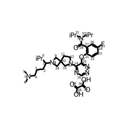 CC(C)C(CCCN(C)C)N1CC2(CCN(c3ncnnc3Oc3ccc(F)cc3C(=O)N(C(C)C)C(C)C)C2)C1.O=C(O)C(=O)O